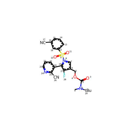 CN(C(=O)OCc1cn(S(=O)(=O)c2cccc(C#N)c2)c(-c2cccnc2C#N)c1F)C(C)(C)C